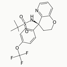 CC(C)(C)S(=O)(=O)N[C@]1(c2ccc(OC(F)(F)F)cc2)CCOc2cccnc21